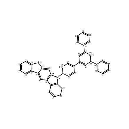 C1=Cc2c(n(C3C=CC(C4=NC(c5ccccc5)NC(c5ccccc5)=N4)=CN3)c3cc4sc5ccccc5c4cc23)CC1